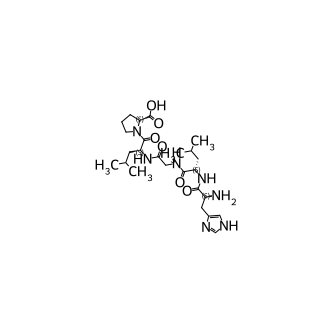 CC(C)C[C@H](NC(=O)[C@@H](N)Cc1c[nH]cn1)C(=O)NCC(=O)N[C@@H](CC(C)C)C(=O)N1CCC[C@H]1C(=O)O